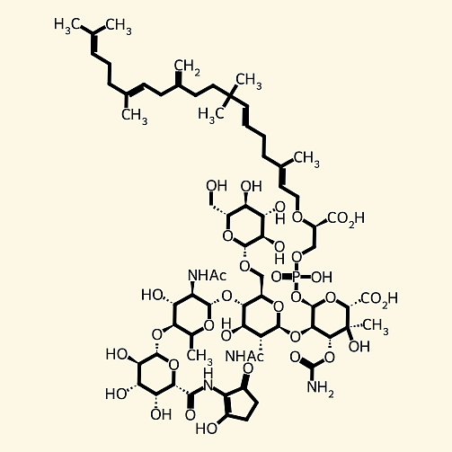 C=C(C/C=C(\C)CCC=C(C)C)CCC(C)(C)/C=C/CC/C(C)=C/CO[C@H](COP(=O)(O)O[C@H]1O[C@H](C(=O)O)[C@@](C)(O)[C@H](OC(N)=O)[C@H]1O[C@@H]1O[C@H](CO[C@@H]2O[C@H](CO)[C@@H](O)[C@H](O)[C@H]2O)[C@@H](O[C@@H]2OC(C)[C@@H](O[C@@H]3O[C@H](C(=O)NC4=C(O)CCC4=O)[C@H](O)[C@H](O)[C@H]3O)[C@H](O)[C@H]2NC(C)=O)[C@H](O)[C@H]1NC(C)=O)C(=O)O